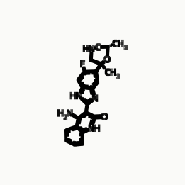 C[C@H]1CNC[C@@](C)(c2cc3nc(-c4c(N)c5ccccc5[nH]c4=O)[nH]c3cc2F)O1